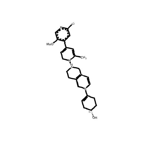 COc1cnc(Cl)cc1C1=CCN([SH]2CCC3=C(C=CN(C4=CC[C@@H](O)CC4)C3)C2)C(C)=C1